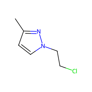 Cc1ccn(CCCl)n1